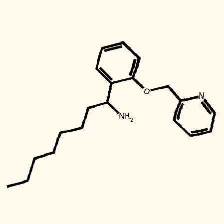 CCCCCCCC(N)c1ccccc1OCc1ccccn1